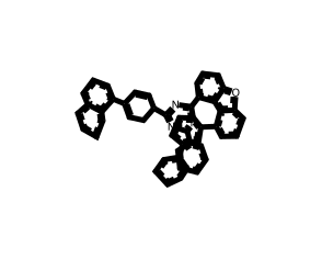 C1=CC(c2nc(-c3ccccc3)nc(-c3cccc4oc5cccc(-c6cccc(-c7ccccc7)c6)c5c34)n2)CC=C1c1cccc2ccccc12